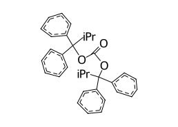 CC(C)C(OC(=O)OC(c1ccccc1)(c1ccccc1)C(C)C)(c1ccccc1)c1ccccc1